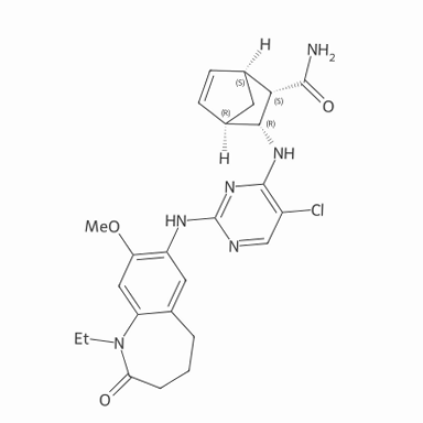 CCN1C(=O)CCCc2cc(Nc3ncc(Cl)c(N[C@H]4[C@@H](C(N)=O)[C@@H]5C=C[C@H]4C5)n3)c(OC)cc21